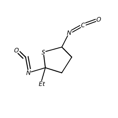 CCC1(N=C=O)CCC(N=C=O)S1